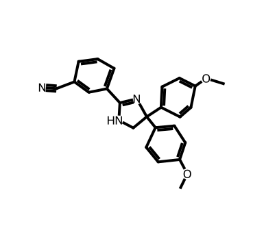 COc1ccc(C2(c3ccc(OC)cc3)CNC(c3cccc(C#N)c3)=N2)cc1